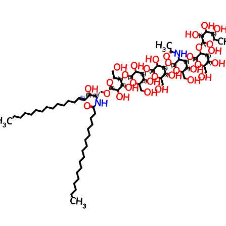 CCCCCCCCCCCCC/C=C/[C@@H](O)[C@H](CO[C@@H]1OC(CO)[C@@H](O[C@@H]2OC(CO)[C@H](O)[C@H](O[C@H]3OC(CO)[C@H](O)[C@H](O[C@@H]4OC(CO)[C@H](O)[C@H](O[C@@H]5OC(CO)[C@H](O)[C@H](O)C5O[C@H]5OC(C)[C@@H](O)C(O)[C@@H]5O)C4NC(C)=O)C3O)C2O)[C@H](O)C1O)NC(=O)CCCCCCCCCCCCCCCCC